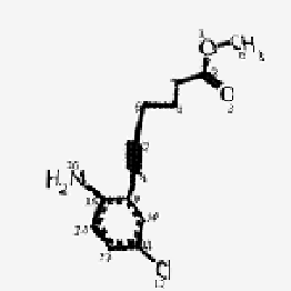 COC(=O)CCCC#Cc1cc(Cl)ccc1N